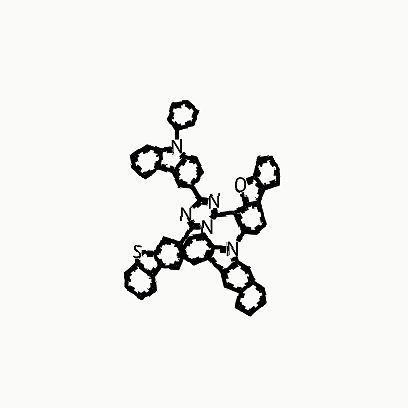 c1ccc(-n2c3ccccc3c3cc(-c4nc(-c5ccc6c(c5)sc5ccccc56)nc(-c5c(-n6c7ccccc7c7cc8ccccc8cc76)ccc6c5oc5ccccc56)n4)ccc32)cc1